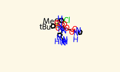 COc1ccc(Cl)c(Oc2c(NS(=O)(=O)c3ccc(C(C)(C)C)cc3)nc(-c3ccnc(-c4nnn[nH]4)c3)nc2OCCOC(=O)Nc2ccccn2)c1